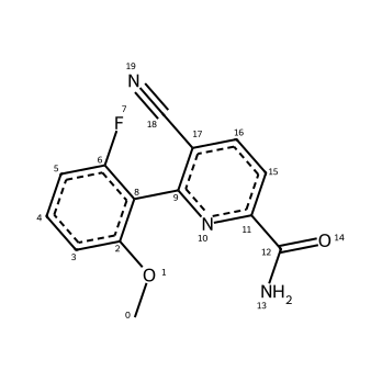 COc1cccc(F)c1-c1nc(C(N)=O)ccc1C#N